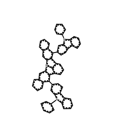 c1ccc(-n2c3ccccc3c3ccc(-c4c5ccccc5cc5c4c4cccc6c7c(-c8ccc9c%10ccccc%10n(-c%10ccccc%10)c9c8)c8ccccc8cc7n5c46)cc32)cc1